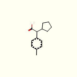 Cc1ccc(C(C(=O)O)C2CCCC2)cc1